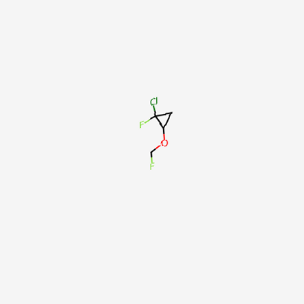 FCOC1CC1(F)Cl